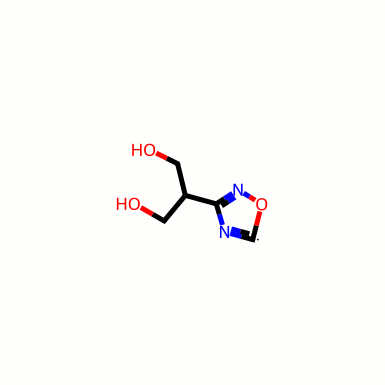 OCC(CO)c1n[c]on1